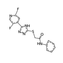 O=C(CSc1nnc(-c2cc(F)ncc2F)[nH]1)Nc1ccccc1